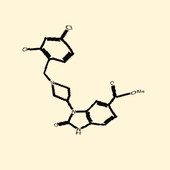 COC(=O)c1ccc2[nH]c(=O)n(C3CN(Cc4ccc(Cl)cc4Cl)C3)c2c1